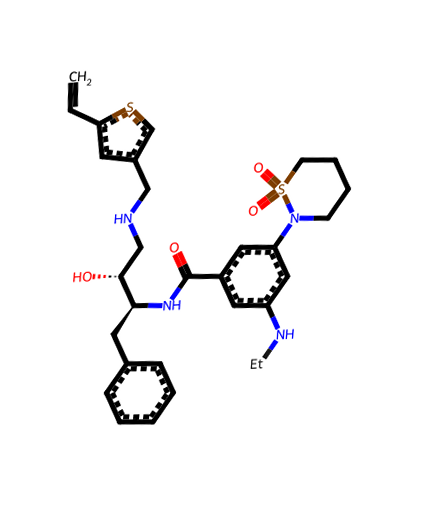 C=Cc1cc(CNC[C@@H](O)[C@H](Cc2ccccc2)NC(=O)c2cc(NCC)cc(N3CCCCS3(=O)=O)c2)cs1